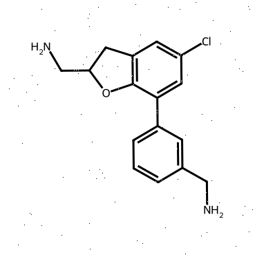 NCc1cccc(-c2cc(Cl)cc3c2OC(CN)C3)c1